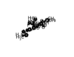 CC(C)c1ccccc1[C@H]1CCCN1C1CC2(CCN(c3ccc(C(=O)NS(=O)(=O)c4cc5c(c([N+](=O)[O-])c4)N[C@@H]([C@H]4CC[C@](C)(O)CC4)CO5)c(Oc4cc5c(F)c[nH]c5nc4O[C@@H]4CCNC4)c3)CC2)C1